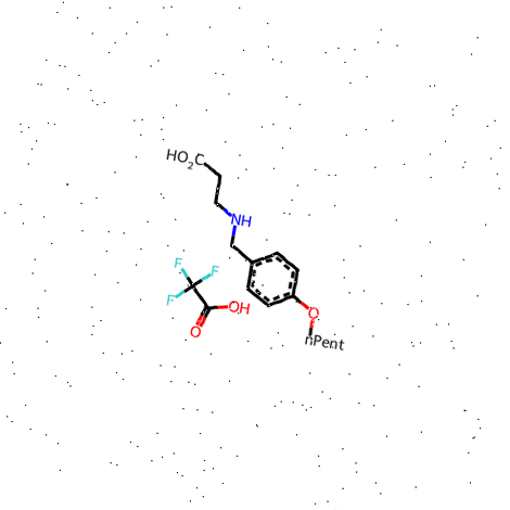 CCCCCOc1ccc(CNCCC(=O)O)cc1.O=C(O)C(F)(F)F